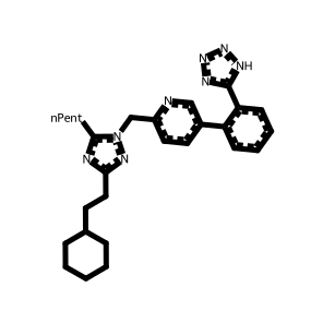 CCCCCc1nc(CCC2CCCCC2)nn1Cc1ccc(-c2ccccc2-c2nnn[nH]2)cn1